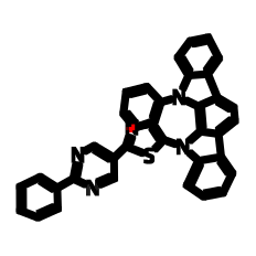 c1ccc(-c2ncc(-c3ncc(-n4c5ccccc5c5ccc6c7ccccc7n(-c7ccccc7)c6c54)s3)cn2)cc1